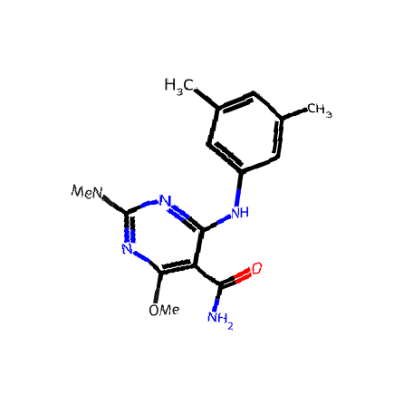 CNc1nc(Nc2cc(C)cc(C)c2)c(C(N)=O)c(OC)n1